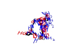 CC[C@H](C)[C@@H]1NC(=O)[C@H](Cc2ccc(O)cc2)NC(=O)CNC[C@@H](C(=O)N(C)CC(=O)N[C@@H](Cc2cnc[nH]2)C(=O)NCC(N)=O)NC(=O)[C@H](CC(N)=O)NC(=O)[C@H](CCC(N)=O)NC1=O